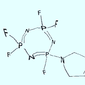 FP1(F)=NP(F)(F)=NP(F)(N2CC=CC2)=N1